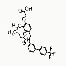 CCCS(=O)(=O)N(Cc1ccc(OCC(=O)O)c(C)c1)c1cccc(-c2ccc(C(F)(F)F)cc2)c1